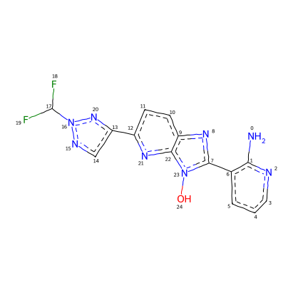 Nc1ncccc1-c1nc2ccc(-c3cnn(C(F)F)n3)nc2n1O